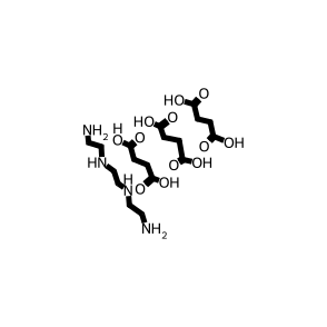 NCCNCCNCCN.O=C(O)CCC(=O)O.O=C(O)CCC(=O)O.O=C(O)CCC(=O)O